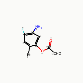 CCc1cc(F)c(N)cc1OC(=O)C=O